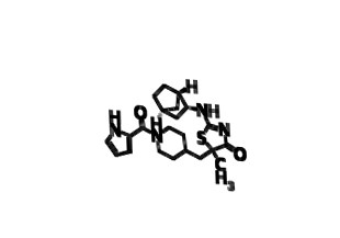 CC1(CC2CCN(C(=O)c3ccc[nH]3)CC2)SC(N[C@H]2C[C@H]3CC[C@H]2C3)=NC1=O